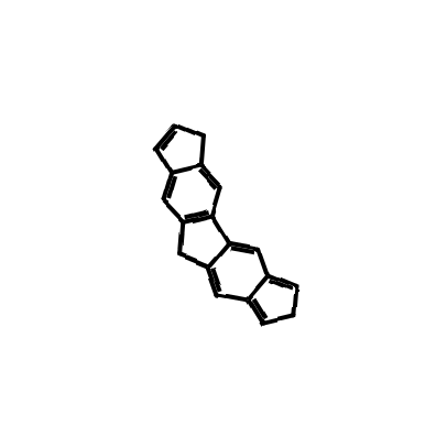 C1=Cc2cc3c(cc2C1)-c1cc2c(cc1C3)=CCC=2